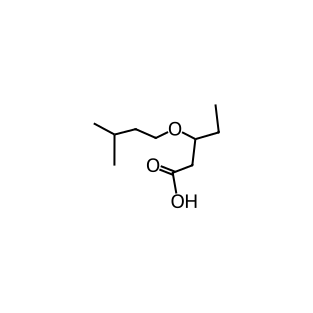 CCC(CC(=O)O)OCCC(C)C